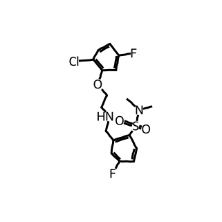 CN(C)S(=O)(=O)c1ccc(F)cc1CNCCOc1cc(F)ccc1Cl